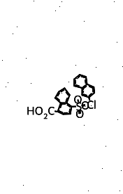 O=C(O)c1ccc(S(=O)(=O)Oc2c(Cl)ccc3ccccc23)c2ccccc12